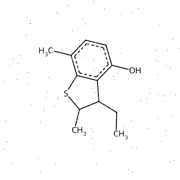 CCC1c2c(O)ccc(C)c2SC1C